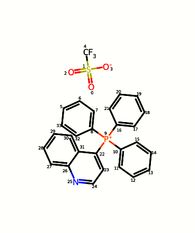 O=S(=O)([O-])C(F)(F)F.c1ccc([P+](c2ccccc2)(c2ccccc2)c2ccnc3ccccc23)cc1